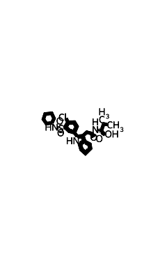 CC(C)[C@H](NC(=O)Cc1c(-c2ccc(Cl)c(S(=O)(=O)NC3CCCCC3)c2)[nH]c2ccccc12)C(=O)O